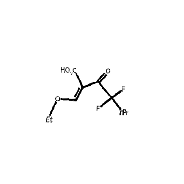 CCCC(F)(F)C(=O)C(=COCC)C(=O)O